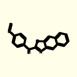 O=Nc1ccc(Nc2nc3cc4ccccc4cc3o2)cc1